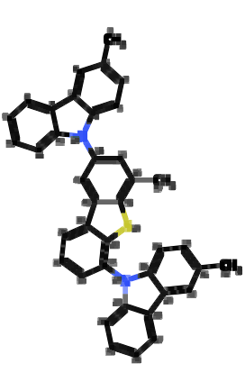 Cc1ccc2c(c1)c1ccccc1n2-c1cc(C)c2sc3c(-n4c5ccccc5c5cc(C)ccc54)cccc3c2c1